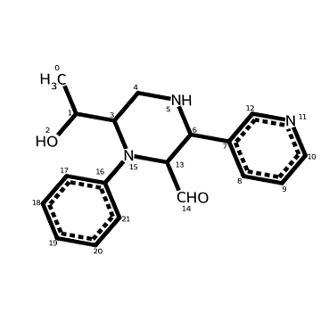 CC(O)C1CNC(c2cccnc2)C(C=O)N1c1ccccc1